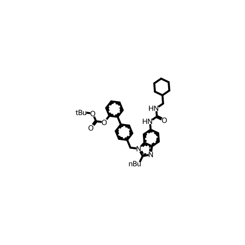 CCCCc1nc2ccc(NC(=O)NCC3CCCCC3)cc2n1Cc1ccc(-c2ccccc2OC(=O)OC(C)(C)C)cc1